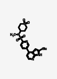 CN(C1CCS(=O)(=O)CC1)S(=O)(=O)c1ccc(-c2ccnc3[nH]c(C(C)(C)C)cc23)cn1